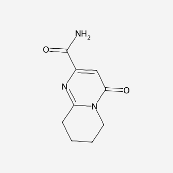 NC(=O)c1cc(=O)n2c(n1)CCCC2